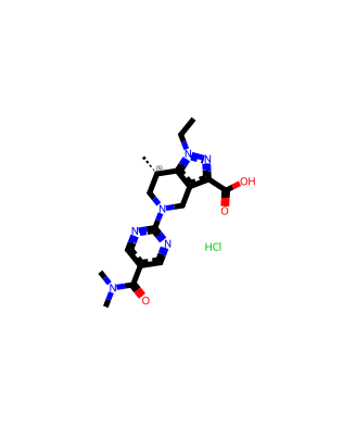 CCn1nc(C(=O)O)c2c1[C@@H](C)CN(c1ncc(C(=O)N(C)C)cn1)C2.Cl